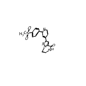 CS(=O)(=O)c1ccc(-c2cc(-c3cc4n(n3)CCNC4=O)ccn2)cc1